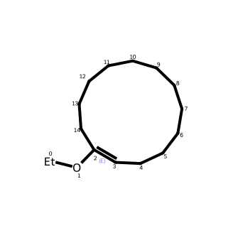 CCO/C1=C/CCCCCCCCCCC1